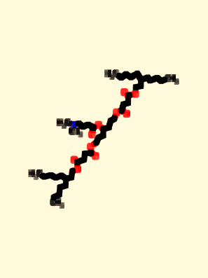 CCCCCC(CCCCC)CCOC(=O)CCC(=O)OCCCC(CCCOC(=O)CCC(=O)OCCC(CCCCC)CCCCC)OC(=O)CCCN(C)C